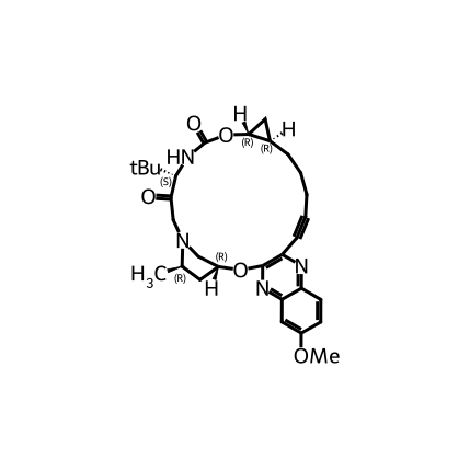 COc1ccc2nc3c(nc2c1)O[C@@H]1C[C@@H](C)N(CC(=O)[C@H](C(C)(C)C)NC(=O)O[C@@H]2C[C@H]2CCCC#C3)C1